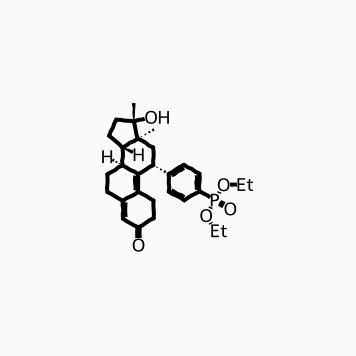 CCOP(=O)(OCC)c1ccc([C@H]2C[C@@]3(C)[C@@H](CC[C@]3(C)O)[C@@H]3CCC4=CC(=O)CCC4=C32)cc1